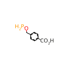 O=C(O)c1ccc(COP)cc1